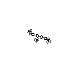 C=CC(=O)Oc1cc(-c2ccc(OC(=O)C(=C)C)cc2)ccc1-c1ccc(-c2ccc(OC(=O)C(=C)C)cc2)cc1